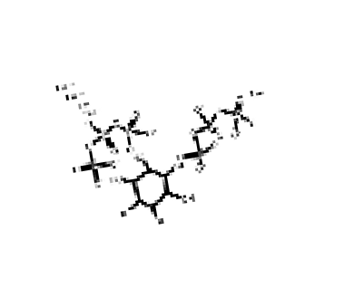 O=P([O-])([O-])OP(=O)([O-])OP(=O)([O-])[O-].O=P([O-])([O-])OP(=O)([O-])OP(=O)([O-])[O-].OC1C(O)C(O)C(O)C(O)C1O.[Ca+2].[Ca+2].[Ca+2].[Ca+2].[Ca+2]